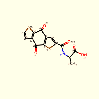 CC(NC(=O)c1cc2c(s1)C(=O)c1ccsc1C2=O)C(=O)O